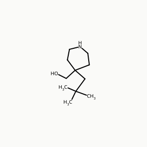 CC(C)(C)CC1(CO)CCNCC1